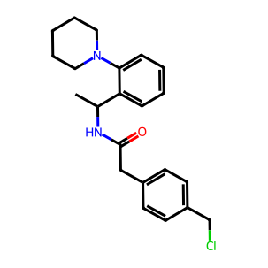 CC(NC(=O)Cc1ccc(CCl)cc1)c1ccccc1N1CCCCC1